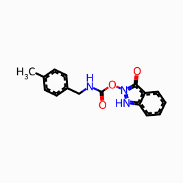 Cc1ccc(CNC(=O)On2[nH]c3ccccc3c2=O)cc1